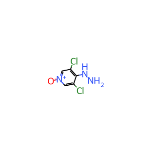 NNc1c(Cl)c[n+]([O-])cc1Cl